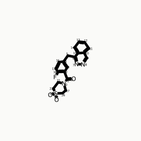 O=C(c1cc(Cc2nncc3ccccc23)ccc1F)N1CCS(=O)(=O)CC1